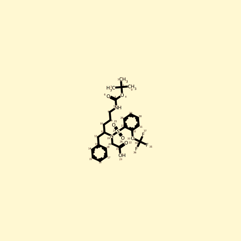 CC(C)(C)OC(=O)NCCCC(Cc1ccccc1)N(CC(=O)O)S(=O)(=O)c1ccccc1OC(F)(F)F